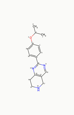 CC(C)Oc1ccc(-c2ncc3c(n2)CCNC3)cc1